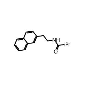 CC(C)C(=O)NCCc1ccc2ccccc2c1